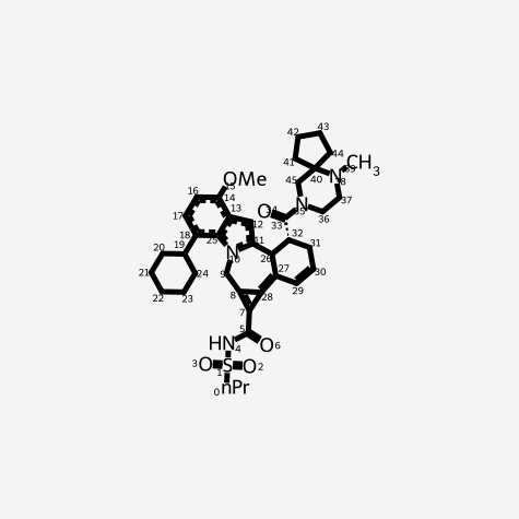 CCCS(=O)(=O)NC(=O)C1=C2Cn3c(cc4c(OC)ccc(C5CCCCC5)c43)C3C(=C21)C=CC[C@H]3C(=O)N1CCN(C)C2(CCCC2)C1